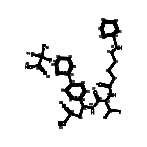 CC(C)[C@H](NC(=O)CCCCNc1ccccn1)C(=O)NC(CC(=O)O)c1ccc(-c2ccccc2)cc1.O=C(O)C(F)(F)F